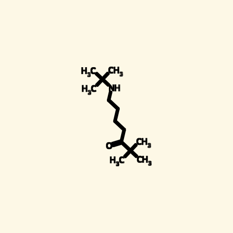 CC(C)(C)NCCCCC(=O)C(C)(C)C